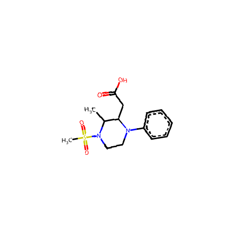 CC1C(CC(=O)O)N(c2ccccc2)CCN1S(C)(=O)=O